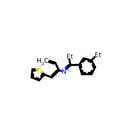 C=CC(=C\c1cccs1)/N=C(\CC)c1cccc(CC)c1